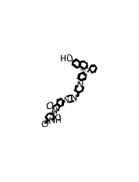 CC1([C@H]2CCc3cc(O)ccc3[C@H]2c2ccc(N3CCC(CN4CCN(c5ccc6c(c5)CN([C@H]5CCC(=O)NC5=O)C6=O)CC4)CC3)cc2)C=CC=CC1